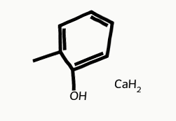 Cc1ccccc1O.[CaH2]